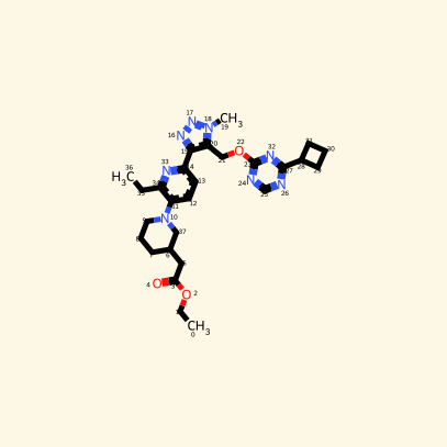 CCOC(=O)CC1CCCN(c2ccc(-c3nnn(C)c3COc3ncnc(C4CCC4)n3)nc2CC)C1